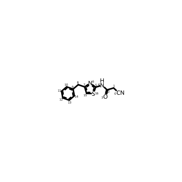 N#CCC(=O)Nc1nc(Cc2ccccc2)cs1